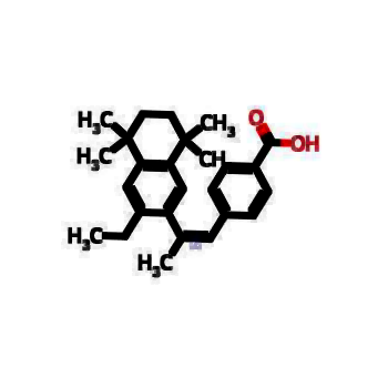 CCc1cc2c(cc1/C(C)=C\c1ccc(C(=O)O)cc1)C(C)(C)CCC2(C)C